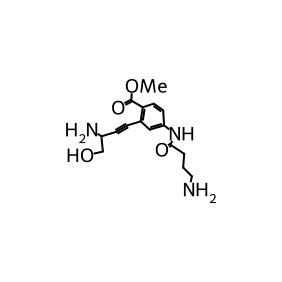 COC(=O)c1ccc(NC(=O)CCCN)cc1C#CC(N)CO